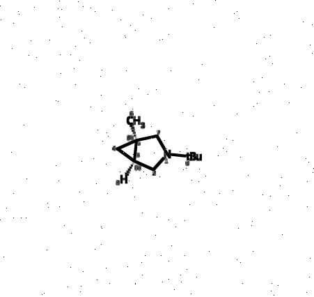 CC(C)(C)N1C[C@H]2C[C@@]2(C)C1